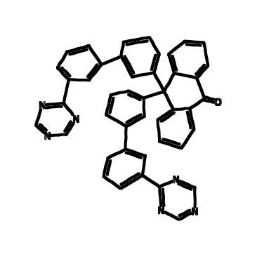 O=C1c2ccccc2C(c2cccc(-c3cccc(-c4ncncn4)c3)c2)(c2cccc(-c3cccc(-c4ncncn4)c3)c2)c2ccccc21